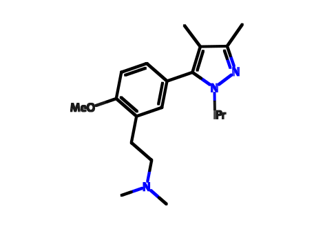 COc1ccc(-c2c(C)c(C)nn2C(C)C)cc1CCN(C)C